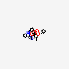 COC(=O)[C@@H]1[C@H]2C[C@@H]3N(CC[C@@]34C(=O)N(Cc3ccccc3)c3ccccc34)C[C@@H]2CC[C@@H]1OCc1ccccc1